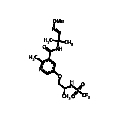 CO/N=C/C(C)(C)NC(=O)c1cc(OC[C@H](C)NS(=O)(=O)C(F)(F)F)cnc1C